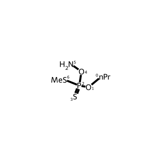 CCCOP(=S)(ON)SC